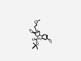 COCCN1CC(c2ccc(OC)cc2)[C@H](NC(=O)OC(C)(C)C)CC1=O